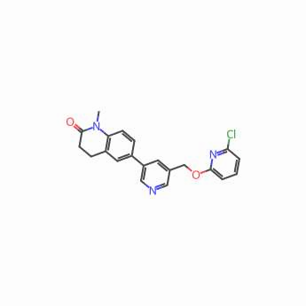 CN1C(=O)CCc2cc(-c3cncc(COc4cccc(Cl)n4)c3)ccc21